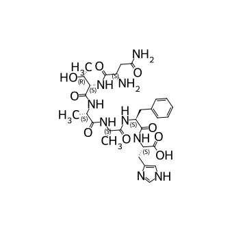 C[C@H](NC(=O)[C@H](C)NC(=O)[C@@H](NC(=O)[C@@H](N)CC(N)=O)[C@@H](C)O)C(=O)N[C@@H](Cc1ccccc1)C(=O)N[C@@H](Cc1c[nH]cn1)C(=O)O